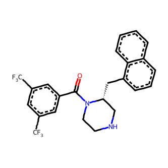 O=C(c1cc(C(F)(F)F)cc(C(F)(F)F)c1)N1CCNC[C@H]1Cc1cccc2ccccc12